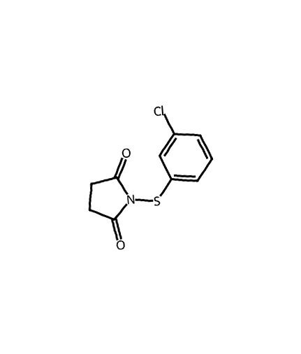 O=C1CCC(=O)N1Sc1cccc(Cl)c1